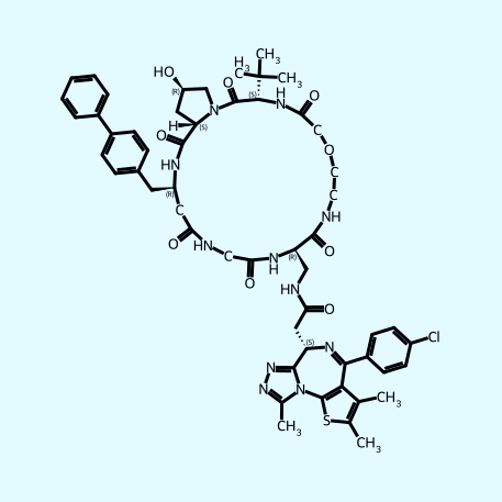 Cc1sc2c(c1C)C(c1ccc(Cl)cc1)=N[C@@H](CC(=O)NC[C@H]1NC(=O)CNC(=O)C[C@@H](Cc3ccc(-c4ccccc4)cc3)NC(=O)[C@@H]3C[C@@H](O)CN3C(=O)[C@H](C(C)(C)C)NC(=O)COCCNC1=O)c1nnc(C)n1-2